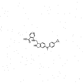 CN(c1ccc(C2CC2)cc1)c1ccc2c(c1)CNC2CNc1cnccc1C(=O)O